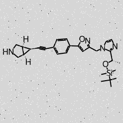 C[C@H](O[Si](C)(C)C(C)(C)C)c1nccn1Cc1cc(-c2ccc(C#C[C@H]3[C@H]4CNC[C@@H]34)cc2)on1